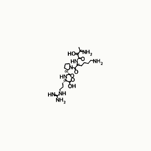 C[C@@H](N)[C@H](O)C(=O)N[C@@H](CCCCN)C(=O)N1CCC[C@H]1C(=O)N[C@@H](CCCNC(=N)N)C(=O)O